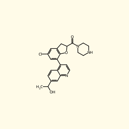 CC(O)c1ccc2c(-c3cc(Cl)cc4c3OC(C(=O)N3CCNCC3)C4)ccnc2c1